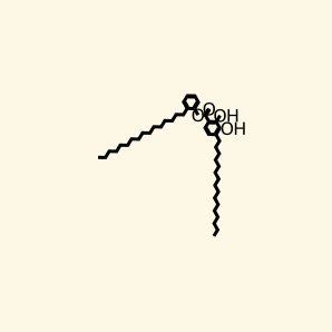 CCCCCCCCCCCCCCCCc1ccccc1OC(=O)c1ccc(CCCCCCCCCCCCCCCC)c(O)c1O